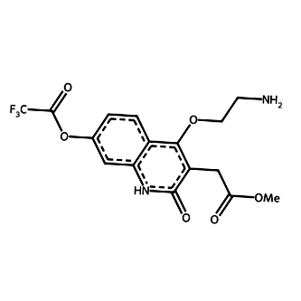 COC(=O)Cc1c(OCCN)c2ccc(OC(=O)C(F)(F)F)cc2[nH]c1=O